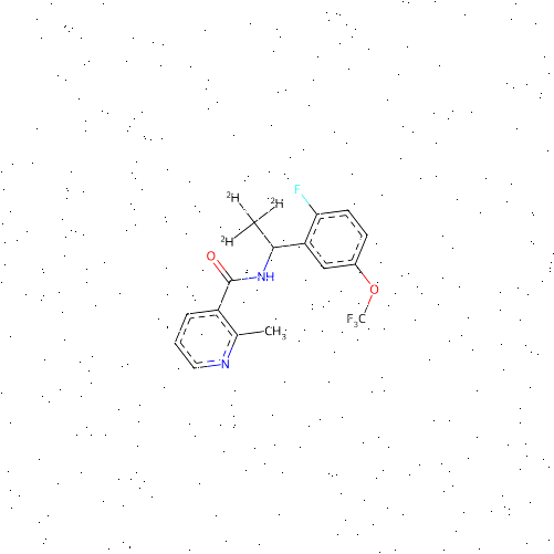 [2H]C([2H])([2H])C(NC(=O)c1cccnc1C)c1cc(OC(F)(F)F)ccc1F